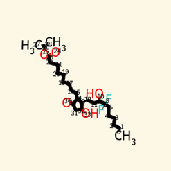 CCCCCCC(F)(F)[C@H](O)CC[C@@H]1C(CCCCCCCCC(=O)OC(C)C)C(=O)C[C@H]1O